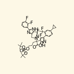 CC(C)(C)OP(=O)(OCCCC(C(=O)O)(c1cc(-c2ccc(C3CC3)cc2C(F)(F)F)no1)N1Cc2nc(-c3cccc(F)c3F)[nH]c2C=N1)OC(C)(C)C